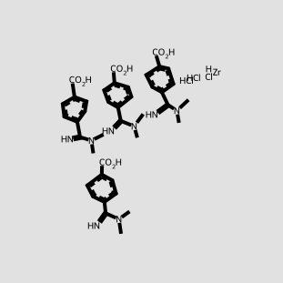 CN(C)C(=N)c1ccc(C(=O)O)cc1.CN(C)C(=N)c1ccc(C(=O)O)cc1.CN(C)C(=N)c1ccc(C(=O)O)cc1.CN(C)C(=N)c1ccc(C(=O)O)cc1.Cl.Cl.Cl.[Zr]